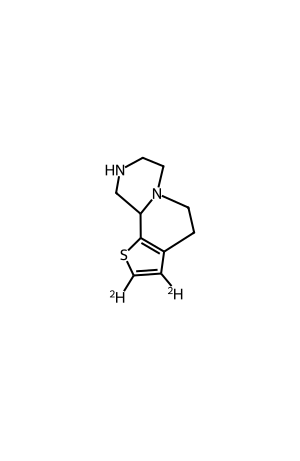 [2H]c1sc2c(c1[2H])CCN1CCNCC21